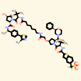 Cc1ncsc1-c1ccc([C@H](C)NC(=O)[C@@H]2C[C@@H](O)CN2C(=O)[C@@H](NC(=O)CCCCCCNC(=O)CO[C@H]2C[C@@H](C(=O)N3CCO[C@H](c4ccccc4)C3)N(C(=O)[C@@H](NC(=O)c3cc4cc(C(F)(F)P(=O)(O)O)ccc4s3)C(C)(C)C)C2)C(C)(C)C)cc1